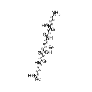 CC(=O)N(O)CCCCCNC(=O)CCC(=O)N(O)CCCCCNC(=O)CCC(=O)N(O)CCCCCN.[Fe]